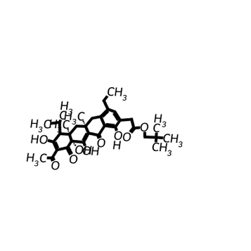 CCc1cc(CC(=O)OCC(C)(C)C)c(O)c2c1C[C@]1(C)C[C@]3(C)C(C(C)C)C(O)=C(C(C)=O)C(=O)[C@]3(O)C(O)=C1C2=O